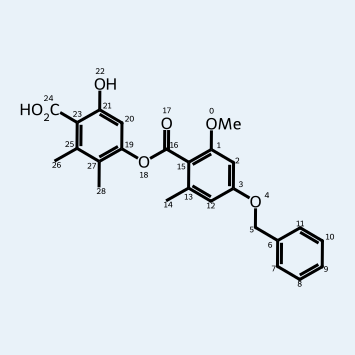 COc1cc(OCc2ccccc2)cc(C)c1C(=O)Oc1cc(O)c(C(=O)O)c(C)c1C